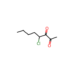 CCCCC(Cl)C(=O)C(C)=O